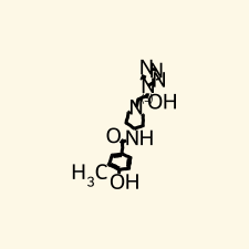 Cc1cc(C(=O)NC2CCN(C[C@H](O)n3cnnn3)CC2)ccc1O